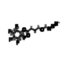 [N-]=[N+]=NCOCCCC(=O)Oc1c(F)c(F)c(F)c(F)c1F